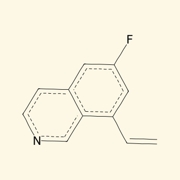 C=Cc1cc(F)cc2ccncc12